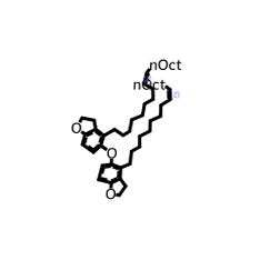 CCCCCCCC/C=C\CCCCCCCCc1c(Oc2ccc3c(c2CCCCCCCC/C=C\CCCCCCCC)CCO3)ccc2c1CCO2